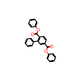 O=C(Oc1ccccc1)c1ccc(C(=O)Oc2ccccc2)c(-c2ccccc2)c1